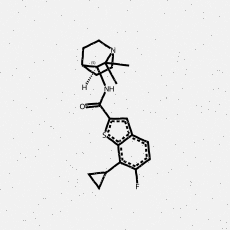 CC1(C)[C@@H](NC(=O)c2cc3ccc(F)c(C4CC4)c3s2)C2CCN1CC2